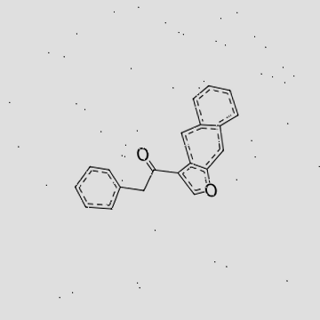 O=C(Cc1ccccc1)c1coc2cc3ccccc3cc12